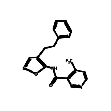 O=C(Nc1oncc1CCc1ccccc1)c1cnccc1C(F)(F)F